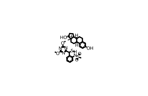 COc1nc(OC)nc(C(SC)c2ccccc2NS(C)(=O)=O)n1.C[C@]12CC[C@@H]3c4ccc(O)cc4CC[C@H]3[C@@H]1CC[C@@H]2O